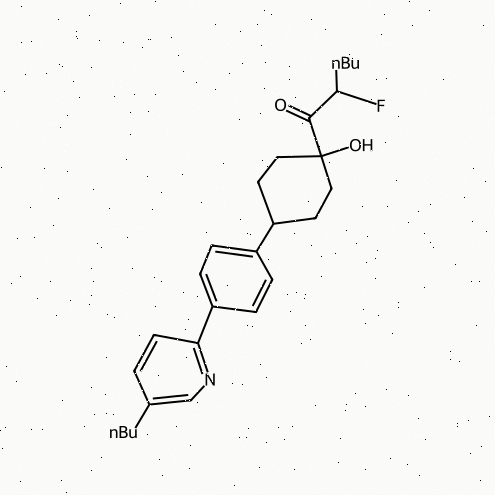 CCCCc1ccc(-c2ccc(C3CCC(O)(C(=O)C(F)CCCC)CC3)cc2)nc1